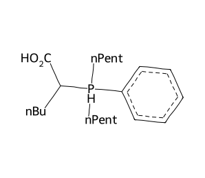 CCCCC[PH](CCCCC)(c1ccccc1)C(CCCC)C(=O)O